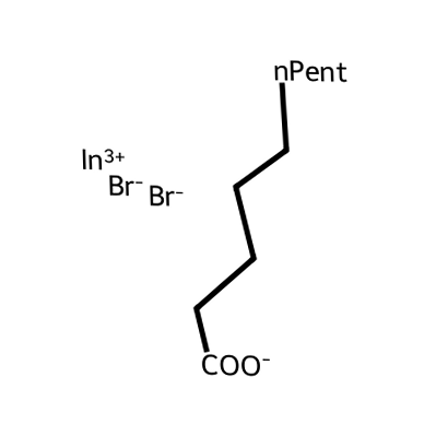 CCCCCCCCCC(=O)[O-].[Br-].[Br-].[In+3]